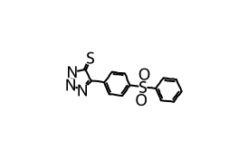 O=S(=O)(c1ccccc1)c1ccc(C2=NN=NC2=S)cc1